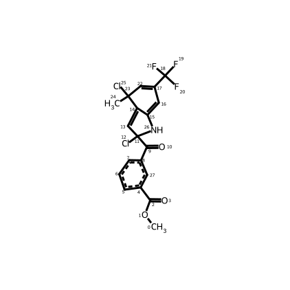 COC(=O)c1cccc(C(=O)C2(Cl)C=C3C(=CC(C(F)(F)F)=CC3(C)Cl)N2)c1